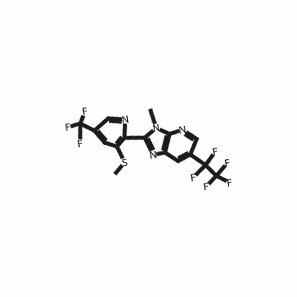 CSc1cc(C(F)(F)F)cnc1-c1nc2cc(C(F)(F)C(F)(F)F)cnc2n1C